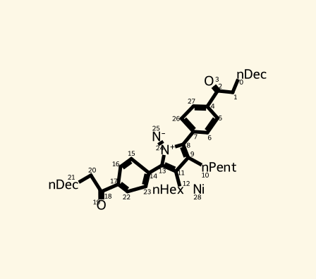 CCCCCCCCCCCC(=O)c1ccc(C2=C(CCCCC)C(CCCCCC)=C(c3ccc(C(=O)CCCCCCCCCCC)cc3)[N+]2=[N-])cc1.[Ni]